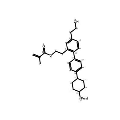 C=C(C)C(=O)OCCc1cc(CCO)ccc1-c1ccc(C2CCC(CCCCC)CC2)cc1